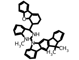 CNc1ccccc1C(NCn1c2ccccc2c2cc3c(cc21)C1C=CC=CC1C3(C)C)C1CCC=C2c3ccccc3OC21